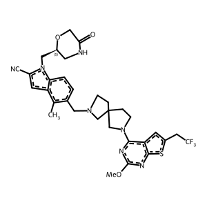 COc1nc(N2CCC3(CCN(Cc4ccc5c(cc(C#N)n5C[C@@H]5CNC(=O)CO5)c4C)C3)C2)c2cc(CC(F)(F)F)sc2n1